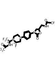 O=C1OC(CNC(=O)C(F)(F)F)CN1c1ccc(N2CCN([C@@H](NC(=O)C(Cl)(Cl)Cl)C(F)(F)F)[C@@H](F)C2)cc1